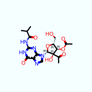 CC(=O)O[C@@H]1[C@@H](CO)O[C@@H](n2cnc3c(=O)[nH]c(NC(=O)C(C)C)nc32)[C@@]1(O)C(C)=O